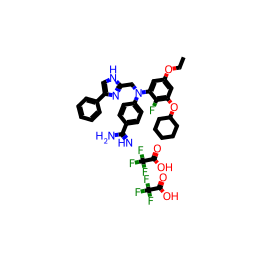 CCOc1cc(OC2CCCCC2)c(F)c(N(Cc2nc(-c3ccccc3)c[nH]2)c2ccc(C(=N)N)cc2)c1.O=C(O)C(F)(F)F.O=C(O)C(F)(F)F